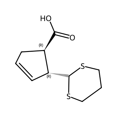 O=C(O)[C@@H]1CC=C[C@H]1C1SCCCS1